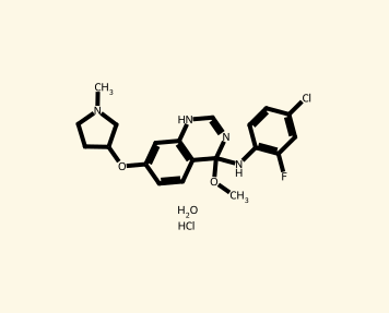 COC1(Nc2ccc(Cl)cc2F)N=CNc2cc(OC3CCN(C)C3)ccc21.Cl.O